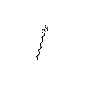 C=NOCCCCCCCCC